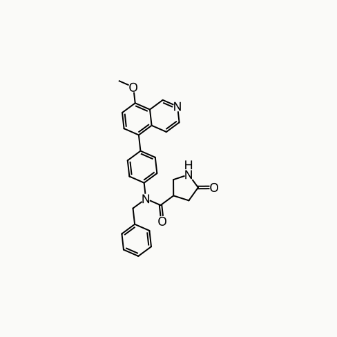 COc1ccc(-c2ccc(N(Cc3ccccc3)C(=O)C3CNC(=O)C3)cc2)c2ccncc12